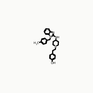 Cc1ccc(Cn2c(NC3CCN(CCc4ccc(O)cc4)CC3)nc3ccccc32)cc1